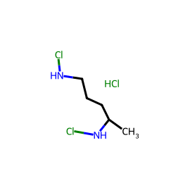 CC(CCCNCl)NCl.Cl